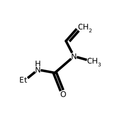 C=CN(C)C(=O)NCC